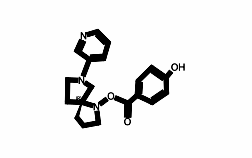 O=C(ON1CCC[C@]12CCN(c1cccnc1)C2)c1ccc(O)cc1